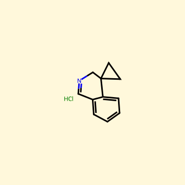 C1=NCC2(CC2)c2ccccc21.Cl